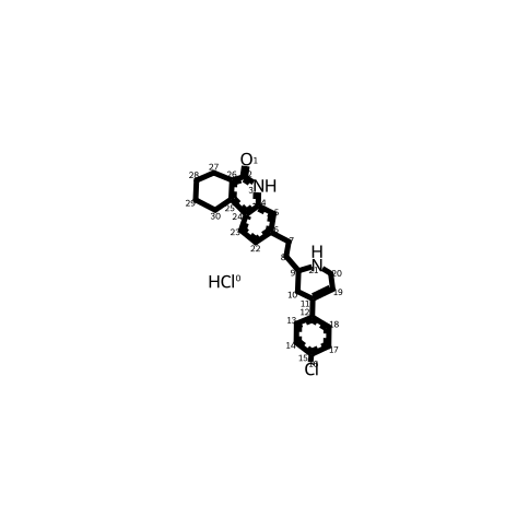 Cl.O=c1[nH]c2cc(CCC3CC(c4ccc(Cl)cc4)=CCN3)ccc2c2c1CCCC2